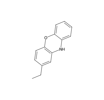 CCc1ccc2c(c1)Nc1ccccc1O2